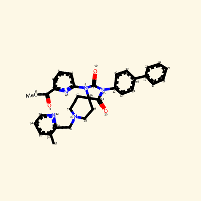 COC(=O)c1cccc(N2C(=O)N(c3ccc(-c4ccccc4)cc3)C(=O)C23CCN(Cc2ncccc2C)CC3)n1